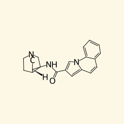 O=C(N[C@H]1CN2CCC1CC2)c1cc2ccc3ccccc3n2c1